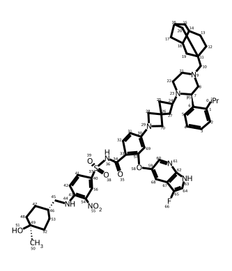 CC(C)c1ccccc1[C@@H]1CN(CC23CCC4CC(CC4C2)C3)CCN1C1CC2(C1)CN(c1ccc(C(=O)NS(=O)(=O)c3ccc(NC[C@H]4CC[C@](C)(O)CC4)c([N+](=O)[O-])c3)c(Oc3cnc4[nH]cc(F)c4c3)c1)C2